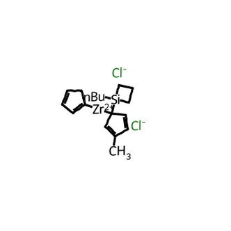 CCCC[Si]1([C]2([Zr+2][C]3=CC=CC3)C=CC(C)=C2)CCC1.[Cl-].[Cl-]